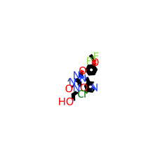 Cn1c(=O)n(CCCO)c(=O)c2c1nc(Oc1cccc(OC(C)(F)F)c1)n2Cc1cncc(Cl)c1